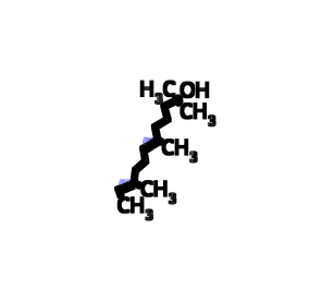 C/C=C(\C)CC/C=C(\C)CCCC(C)(C)O